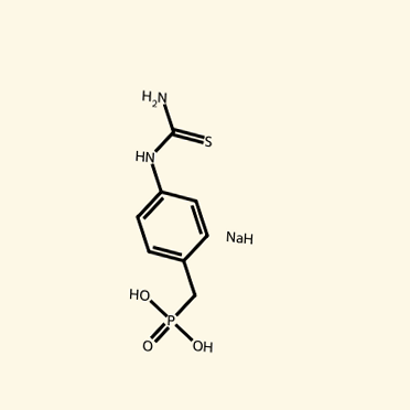 NC(=S)Nc1ccc(CP(=O)(O)O)cc1.[NaH]